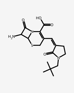 CC(C)(C)CN1CCC(=CC2=C(C(=O)O)N3C(=O)C(N)C3SC2)C1=O